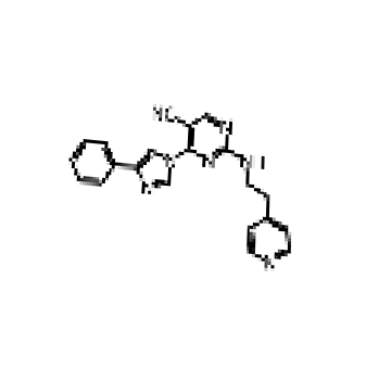 N#Cc1cnc(NCCc2ccncc2)nc1-n1cnc(-c2ccccc2)c1